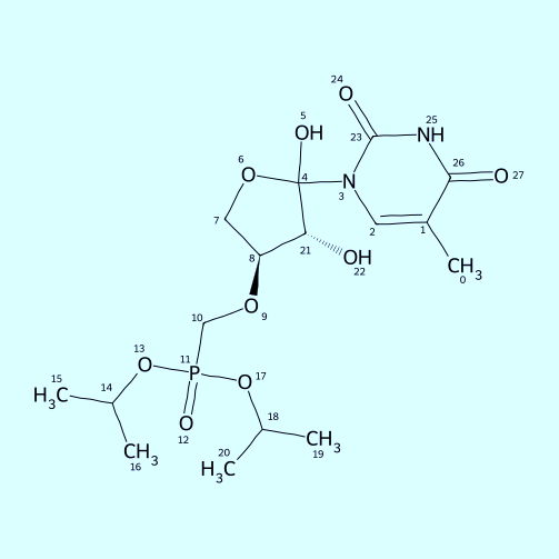 Cc1cn(C2(O)OC[C@H](OCP(=O)(OC(C)C)OC(C)C)[C@H]2O)c(=O)[nH]c1=O